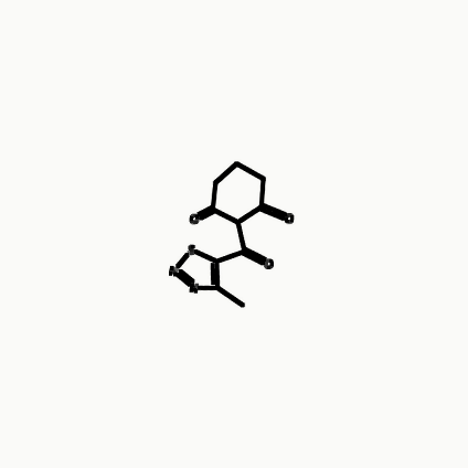 Cc1nnsc1C(=O)C1C(=O)CCCC1=O